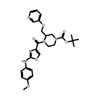 COc1ccc(Nc2nc(C(=O)N3CCN(C(=O)OC(C)(C)C)CC3COc3cccnc3)co2)cc1